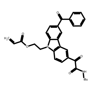 C=CC(=O)OCCn1c2ccc(C(=O)C(=O)NC(C)CC)cc2c2cc(C(=O)c3ccccc3)ccc21